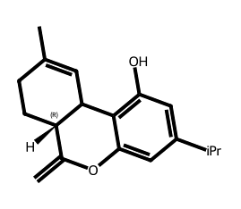 C=C1Oc2cc(C(C)C)cc(O)c2C2C=C(C)CC[C@@H]12